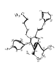 CCCCCc1c(C=Cc2ccccc2)nc(C(C)C)c(CO)c1-c1ccc(F)cc1